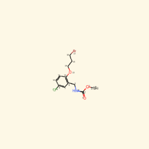 CC(C)(C)OC(=O)NCc1cc(Cl)ccc1OCCCBr